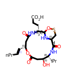 CCC/C=C/[C@@H]1CC(=O)N[C@H](CCC(=O)O)C2(C)N[C@H](CSO2)C(=O)N[C@H](C(C)C)[C@@H](O)CC(=O)O1